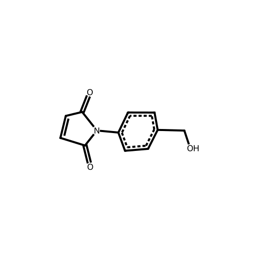 O=C1C=CC(=O)N1c1ccc(CO)cc1